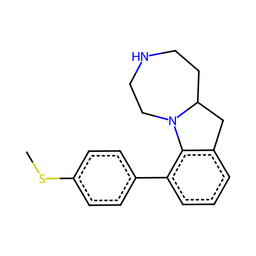 CSc1ccc(-c2cccc3c2N2CCNCCC2C3)cc1